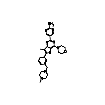 Cc1c(-c2cccc(CN3CCN(C)CC3)c2)sc2c(N3CCOCC3)nc(-c3cnc(N)nc3)nc12